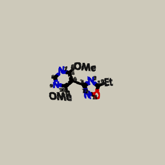 CCc1nc(-c2c(OC)ncnc2OC)no1